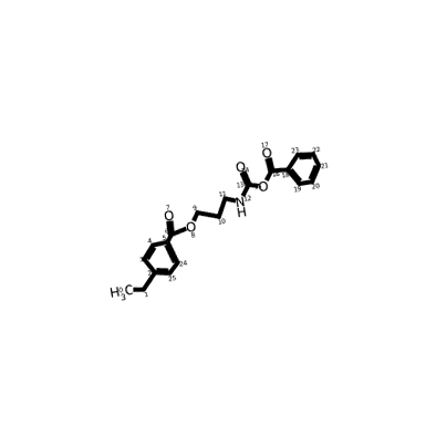 CCc1ccc(C(=O)OCCCNC(=O)OC(=O)c2ccccc2)cc1